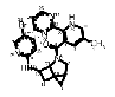 CC1=CC(C(=O)N2CC3CC34CC(Nc3ccc(Br)cn3)C24)=C(c2ncccn2)NC1